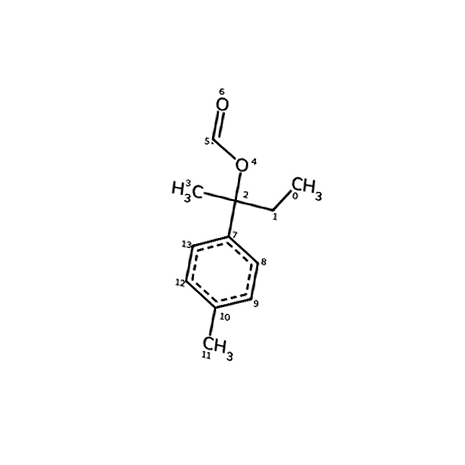 CCC(C)(O[C]=O)c1ccc(C)cc1